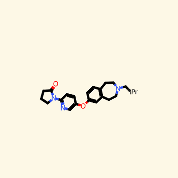 CC(C)CN1CCc2ccc(Oc3ccc(N4CCCC4=O)nc3)cc2CC1